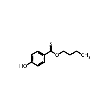 CCCCOC(=S)c1ccc(O)cc1